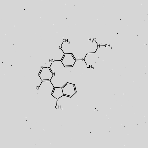 COc1cc(N(C)CCN(C)C)ccc1Nc1ncc(Cl)c(-c2cn(C)c3ccccc23)n1